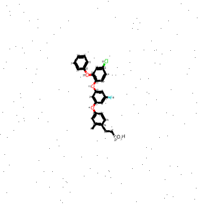 Cc1cc(Oc2cc(F)cc(Oc3ccc(Cl)cc3Oc3ccccc3)c2)ccc1CCC(=O)O